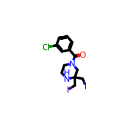 O=C(c1cccc(Cl)c1)N1CCNC(CI)(CI)C1